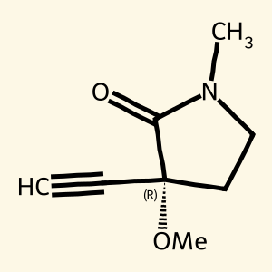 C#C[C@]1(OC)CCN(C)C1=O